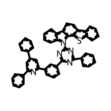 c1ccc(-c2cc(-c3ccccc3)nc(-c3cccc(-c4nc(-c5ccccc5)nc(-n5c6ccccc6c6ccc7c8ccccc8sc7c65)n4)c3)c2)cc1